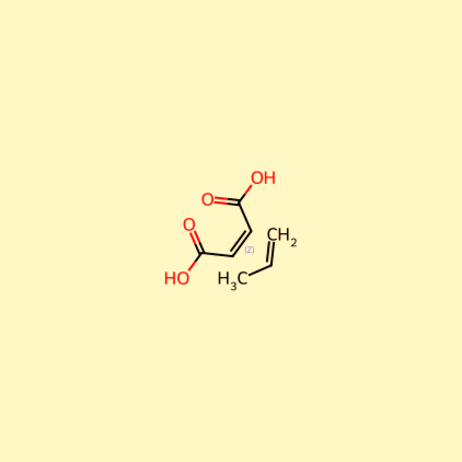 C=CC.O=C(O)/C=C\C(=O)O